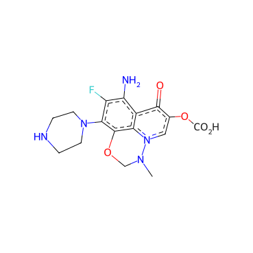 CN1COc2c(N3CCNCC3)c(F)c(N)c3c(=O)c(OC(=O)O)cn1c23